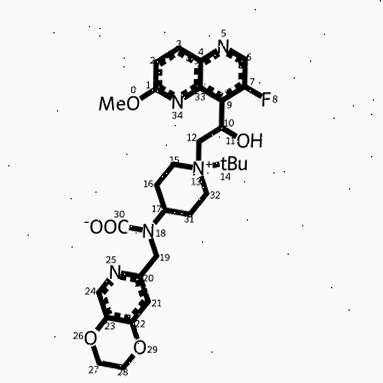 COc1ccc2ncc(F)c(C(O)C[N+]3(C(C)(C)C)CCC(N(Cc4cc5c(cn4)OCCO5)C(=O)[O-])CC3)c2n1